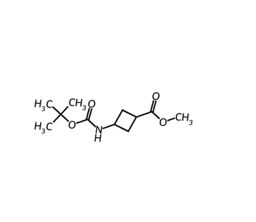 COC(=O)C1CC(NC(=O)OC(C)(C)C)C1